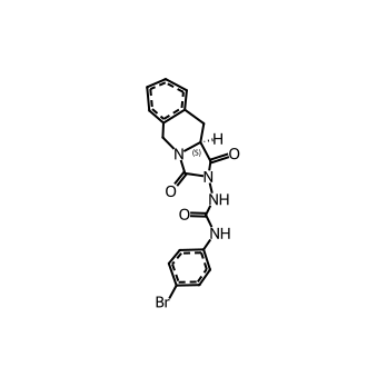 O=C(Nc1ccc(Br)cc1)NN1C(=O)[C@@H]2Cc3ccccc3CN2C1=O